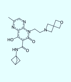 Cc1cnc2c(n1)c(O)c(C(=O)NC13CC(C1)C3)c(=O)n2CCN1CC2(COC2)C1